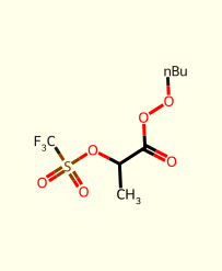 CCCCOOC(=O)C(C)OS(=O)(=O)C(F)(F)F